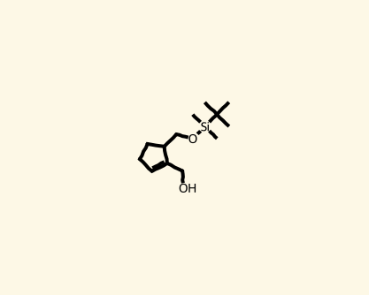 CC(C)(C)[Si](C)(C)OCC1CCC=C1CO